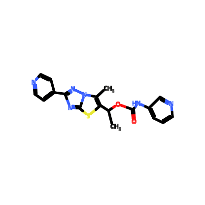 Cc1c(C(C)OC(=O)Nc2cccnc2)sc2nc(-c3ccncc3)nn12